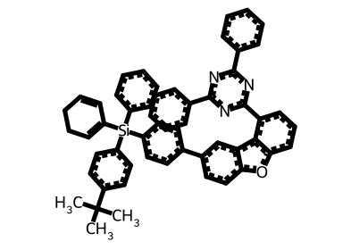 CC(C)(C)c1ccc([Si](C2=CCCC=C2)(c2ccccc2)c2ccc(-c3ccc4oc5cccc(-c6nc(-c7ccccc7)nc(-c7ccccc7)n6)c5c4c3)cc2)cc1